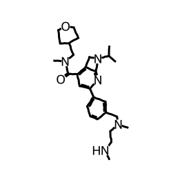 CNCCN(C)Cc1cccc(-c2cc(C(=O)N(C)CC3CCOCC3)c3c(n2)N(C(C)C)C3)c1